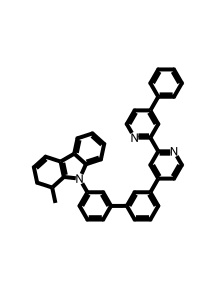 CC1CC=Cc2c1n(-c1cccc(-c3cccc(-c4ccnc(-c5cc(-c6ccccc6)ccn5)c4)c3)c1)c1ccccc21